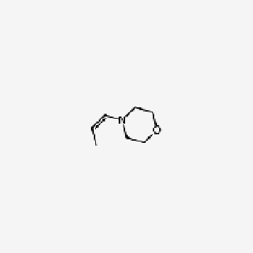 C/C=C\N1CCOCC1